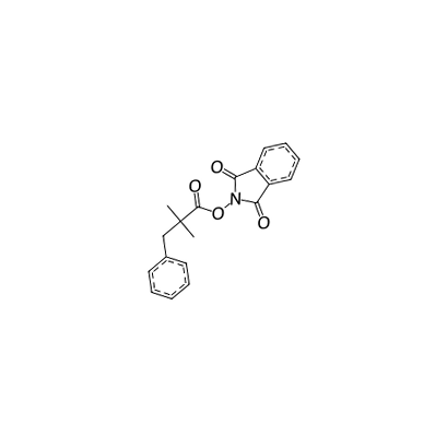 CC(C)(Cc1ccccc1)C(=O)ON1C(=O)c2ccccc2C1=O